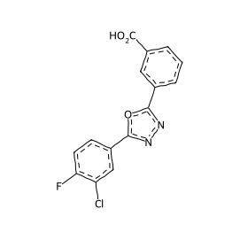 O=C(O)c1cccc(-c2nnc(-c3ccc(F)c(Cl)c3)o2)c1